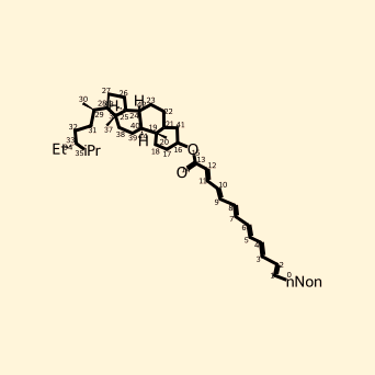 CCCCCCCCCC=CC=CC=CC=CC=CC=CC(=O)OC1CC[C@@]2(C)C(CC[C@H]3[C@@H]4CC[C@H]([C@H](C)CC[C@@H](CC)C(C)C)[C@@]4(C)CC[C@@H]32)C1